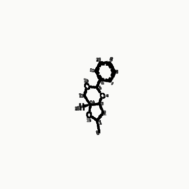 CC1CC2OC(c3ccccc3)OC[C@H]2O1